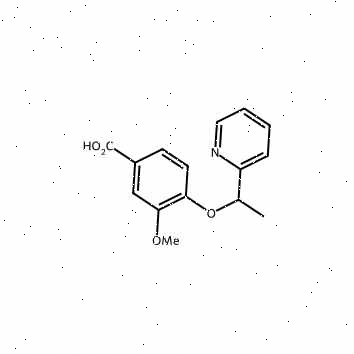 COc1cc(C(=O)O)ccc1OC(C)c1ccccn1